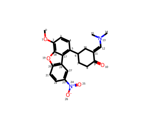 COc1ccc(C2CCC(=O)C(=CN(C)C)C2)c2c1oc1ccc([N+](=O)[O-])cc12